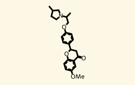 COc1ccc2c(c1)C(=O)CC(c1ccc(OCC(C)N3CCC(C)C3)cc1)O2